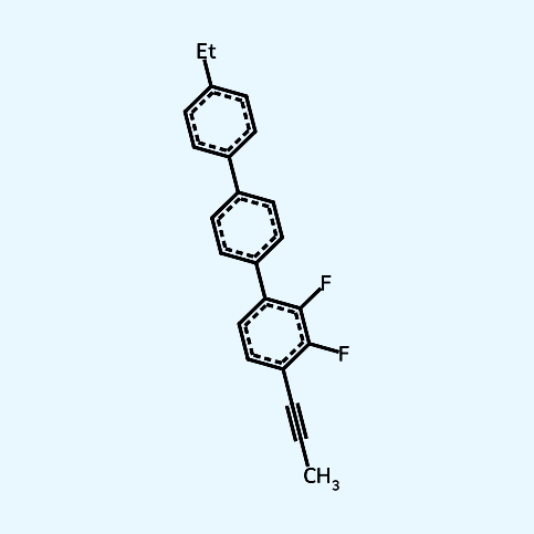 CC#Cc1ccc(-c2ccc(-c3ccc(CC)cc3)cc2)c(F)c1F